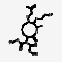 C=C(C)COC1CCCC(N(C(=O)OC(C)(C)C)C(=O)OC(C)(C)C)C(=O)OC(C)C1OCCC(C)=O